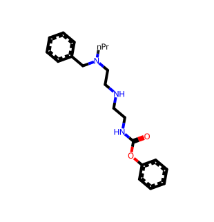 CCCN(CCNCCNC(=O)Oc1ccccc1)Cc1ccccc1